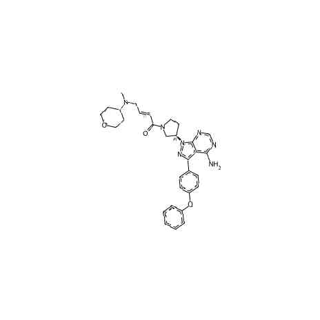 CN(C/C=C/C(=O)N1CC[C@@H](n2nc(-c3ccc(Oc4ccccc4)cc3)c3c(N)ncnc32)C1)C1CCOCC1